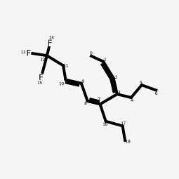 CC=C=C(CCC)/C(=C\C=CCC(F)(F)F)CCC